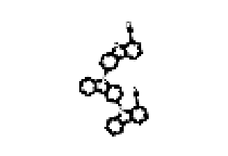 N#Cc1cccc2c1oc1ccc(-n3c4ccccc4c4cc(-n5c6ccccc6c6cccc(C#N)c65)ccc43)cc12